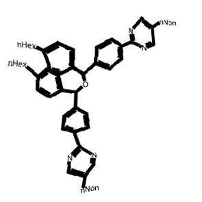 CCCCCCCCCc1cnc(-c2ccc(C(OC(c3ccc(CCCCCC)cc3)c3ccc(-c4ncc(CCCCCCCCC)cn4)cc3)c3ccc(CCCCCC)cc3)cc2)nc1